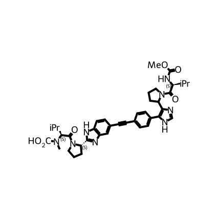 COC(=O)N[C@H](C(=O)N1CCCC1c1nc[nH]c1-c1ccc(C#Cc2ccc3[nH]c([C@@H]4CCCN4C(=O)[C@H](C(C)C)N(C)C(=O)O)nc3c2)cc1)C(C)C